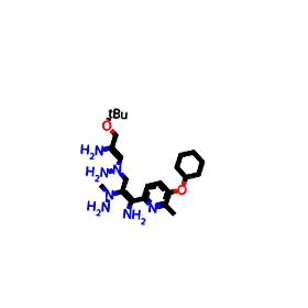 Cc1nc(/C(N)=C(\CN(N)/C=C(\N)COC(C)(C)C)N(C)N)ccc1OC1CCCCC1